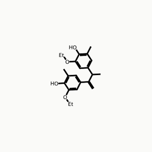 C=C(c1cc(C)c(O)c(OCC)c1)C(C)c1cc(C)c(O)c(OCC)c1